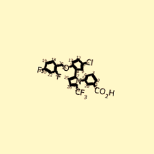 O=C(O)c1cccc(-n2c(-c3cc(Cl)ccc3OCc3ccc(F)cc3F)ccc2C(F)(F)F)c1